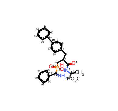 C[C@H](NC(=O)C(Cc1ccc(-c2ccccc2)cc1)CP(=O)(O)C(N)c1ccccc1)C(=O)O